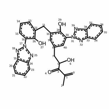 C=C(C)C(=O)C(O)Cc1cc(Cc2cccc(-n3nc4ccccc4n3)c2O)c(O)c(-n2nc3ccccc3n2)c1